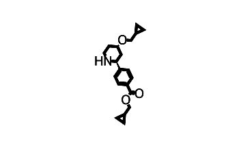 O=C(OCC1CC1)c1ccc([C@@H]2C[C@@H](OCC3CC3)CCN2)cc1